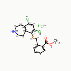 COC(=O)c1ccccc1CSc1c(Cl)cc(Cl)c2c1CCNCC2.Cl